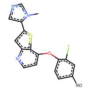 Cn1cncc1-c1cc2nccc(Oc3ccc(N=O)cc3F)c2s1